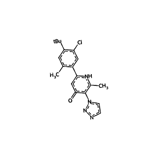 Cc1cc(C(C)(C)C)c(Cl)cc1-c1cc(=O)c(-n2ccnn2)c(C)[nH]1